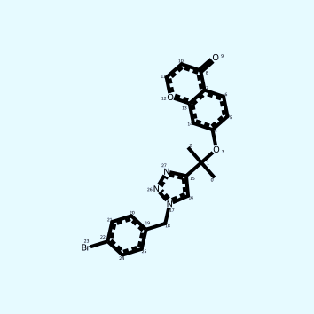 CC(C)(Oc1ccc2c(=O)ccoc2c1)c1cn(Cc2ccc(Br)cc2)nn1